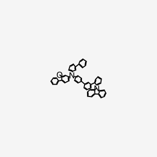 c1ccc(-c2cccc(N(c3ccc(-c4cccc(-c5ccccc5-n5c6ccccc6c6ccccc65)c4)cc3)c3ccc4c(c3)oc3ccccc34)c2)cc1